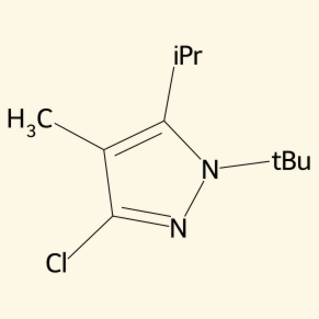 Cc1c(Cl)nn(C(C)(C)C)c1C(C)C